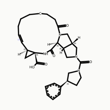 O=C1N[C@]2(C(=O)O)C[C@H]2/C=C\CCCCCCC(=O)N2C[C@@H]3CN(C(=O)N4CC[C@@H](c5ccccc5)C4)C[C@@H]3[C@@H]12